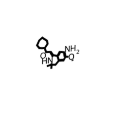 COc1cc2c(cc1N)C(=CC(=O)C1CCCCCC1)NC(C)(C)C2